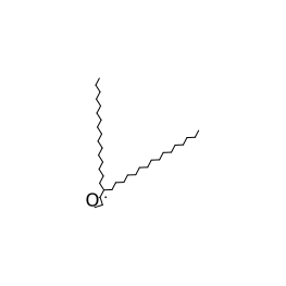 CCCCCCCCCCCCCCCCC(CCCCCCCCCCCCCCCC)[C]1CCO1